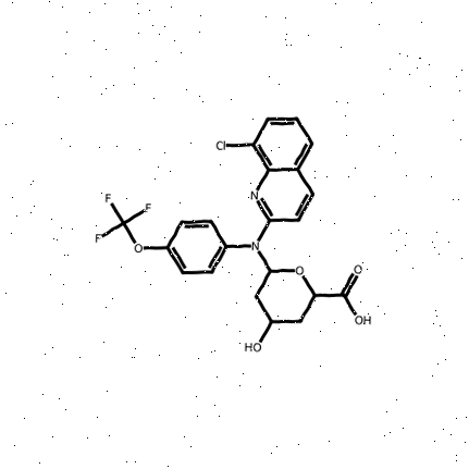 O=C(O)C1CC(O)CC(N(c2ccc(OC(F)(F)F)cc2)c2ccc3cccc(Cl)c3n2)O1